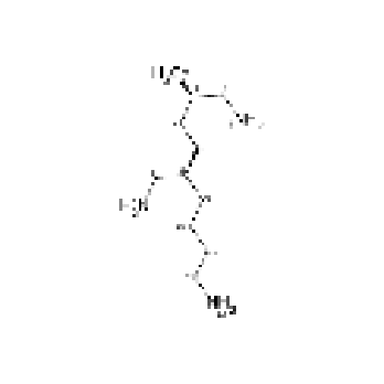 C[C@@H](CN)CC[C@H](CN)CCCCN